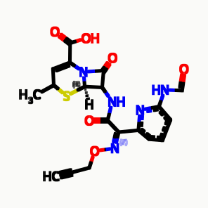 C#CCO/N=C(\C(=O)NC1C(=O)N2C(C(=O)O)=CC(C)S[C@H]12)c1cccc(NC=O)n1